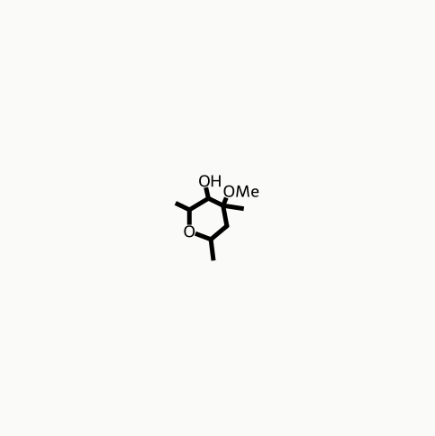 COC1(C)CC(C)OC(C)C1O